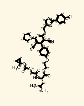 CC(C)C[C@H](NC(=O)CNC(=O)OC1(C)CC1)C(=O)OCCOc1ccc(-c2c(C#N)c(SCc3csc(-c4ccc(Cl)cc4)n3)nc(N3CCCC3)c2C#N)cc1